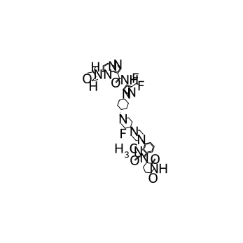 Cn1c(=O)n(C2CCC(=O)NC2=O)c2cccc(N3CCN([C@@H]4CCN(C[C@H]5CC[C@H](n6cc(NC(=O)c7cnn8ccc(N9C[C@H]%10C[C@@H]9CO%10)nc78)c(C(F)F)n6)CC5)C[C@H]4F)CC3)c21